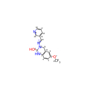 OC1Nc2ccc(OC(F)(F)F)cc2CN1/N=C/c1cccnc1